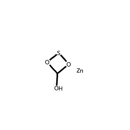 OC1OSO1.[Zn]